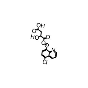 O=C(O)CC(O)C(=O)OOc1ccc(Cl)c2cccnc12